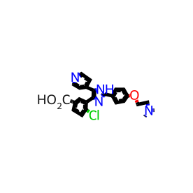 CN(C)CCOc1ccc(-c2nc(-c3cc(C(=O)O)ccc3Cl)c(-c3ccncc3)[nH]2)cc1